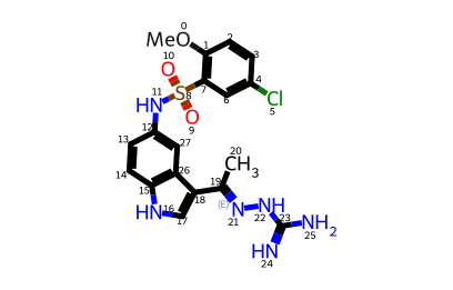 COc1ccc(Cl)cc1S(=O)(=O)Nc1ccc2[nH]cc(/C(C)=N/NC(=N)N)c2c1